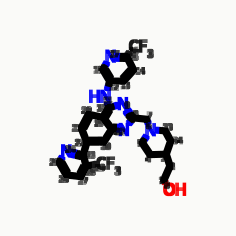 OCCC1CCN(Cc2nc(Nc3ccc(C(F)(F)F)nc3)c3ccc(-c4ncccc4C(F)(F)F)cc3n2)CC1